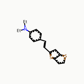 CCN(CC)c1ccc(/C=C/c2cc3sccc3s2)cc1